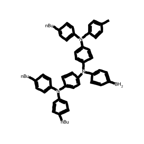 Bc1ccc(N(c2ccc(N(c3ccc(C)cc3)c3ccc(CCCC)cc3)cc2)c2ccc(N(c3ccc(CCCC)cc3)c3ccc(CCCC)cc3)cc2)cc1